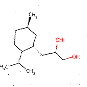 CC(C)[C@@H]1CC[C@@H](C)C[C@@H]1C[C@H](O)CO